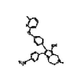 Cc1cccc(Oc2ccc(-c3c(C#N)c4n(c3-c3ccc(N)cc3)CCN(C)C4)cc2)n1